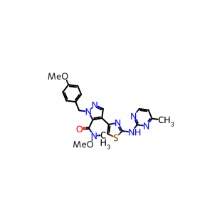 COc1ccc(Cn2ncc(-c3csc(Nc4nccc(C)n4)n3)c2C(=O)N(C)OC)cc1